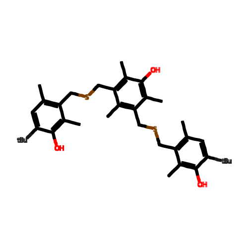 Cc1cc(C(C)(C)C)c(O)c(C)c1CSCc1c(C)c(O)c(C)c(CSCc2c(C)cc(C(C)(C)C)c(O)c2C)c1C